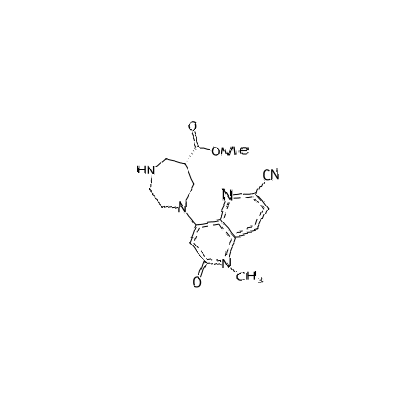 COC(=O)[C@H]1CNCCN(c2cc(=O)n(C)c3ccc(C#N)nc23)C1